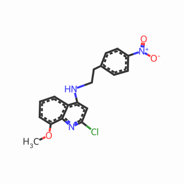 COc1cccc2c(NCCc3ccc([N+](=O)[O-])cc3)cc(Cl)nc12